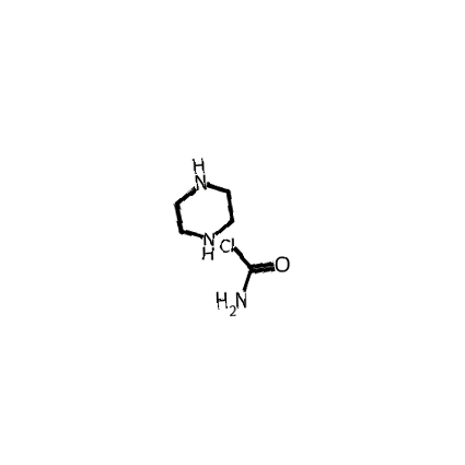 C1CNCCN1.NC(=O)Cl